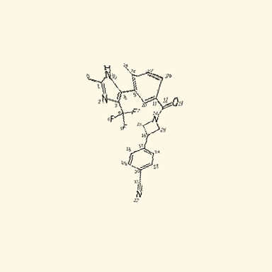 Cc1nc(C(F)(F)F)c(-c2cc(C(=O)N3CC(c4ccc(C#N)cc4)C3)ccc2C)[nH]1